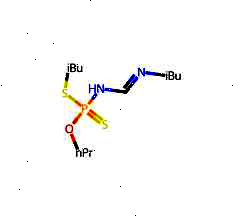 CCCOP(=S)(NC=NC(C)CC)SC(C)CC